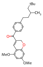 COc1cc(OC)c2c(c1)OCC(C(=O)c1ccc(CCC(C)CC(C)(C)C)cc1)=C2